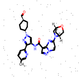 Cc1ccc(-c2nn([C@H]3CC[C@H](C=O)CC3)cc2NC(=O)c2cnn3ccc(N4C[C@H]5C[C@@H]4CO5)nc23)nc1